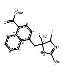 CCCCC1=NC(I)C(C=O)(Cc2ccc(C(=O)OC)c3ccccc23)N1